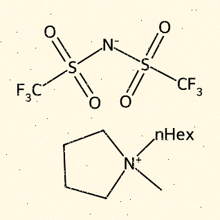 CCCCCC[N+]1(C)CCCC1.O=S(=O)([N-]S(=O)(=O)C(F)(F)F)C(F)(F)F